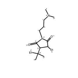 CCC1C(=O)N(CCCN(C)C)C(=O)C1C(C)(C)CC